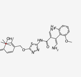 C\C=C(/C=C\C(COc1nnc(NC(=O)C(=C/N)/C(=C\N)c2c(F)cccc2OC)s1)=C(\C)CC)C(C)(C)O